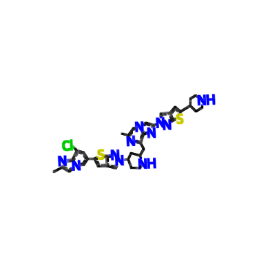 Cc1cn2cc(-n3cc4cc(C5CCNCC5)sc4n3)nc2c(CC2CC(n3cc4cc(-c5cc(Cl)c6nc(C)cn6c5)sc4n3)CCN2)n1